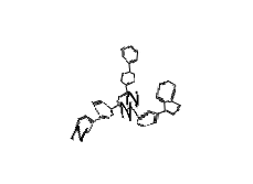 C1=CC(c2ccccc2)CC=C1c1cc(-c2ccc(-c3cccnc3)cc2)nc(-c2cccc(-c3cccc4ccccc34)c2)n1